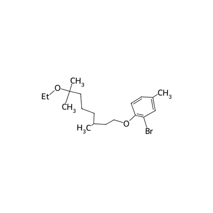 CCOC(C)(C)CCCC(C)CCOc1ccc(C)cc1Br